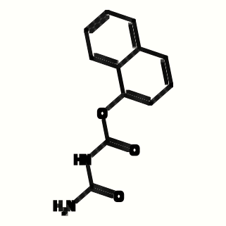 NC(=O)NC(=O)Oc1cccc2ccccc12